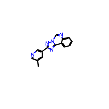 Cc1cncc(-c2nc3c4ccccc4ncn3n2)c1